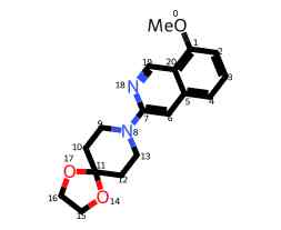 COc1cccc2cc(N3CCC4(CC3)OCCO4)ncc12